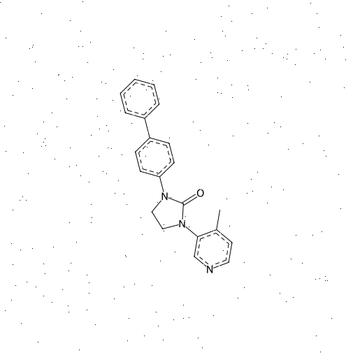 Cc1ccncc1N1CCN(c2ccc(-c3ccccc3)cc2)C1=O